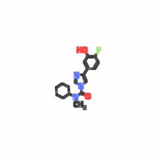 CN(C(=O)n1cnc(-c2ccc(F)c(O)c2)c1)C1CCCCC1